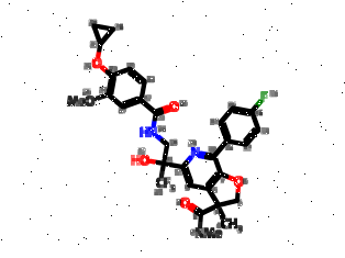 CNC(=O)[C@@]1(C)COc2c1cc(C(O)(CNC(=O)c1ccc(OC3CC3)c(OC)c1)C(F)(F)F)nc2-c1ccc(F)cc1